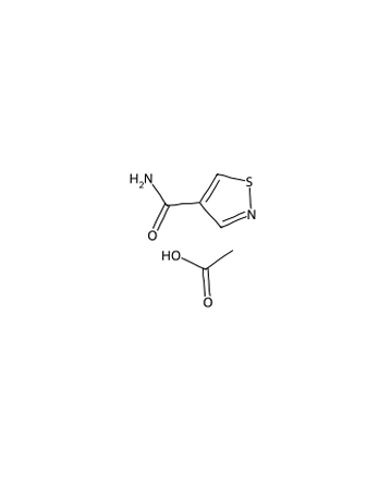 CC(=O)O.NC(=O)c1cnsc1